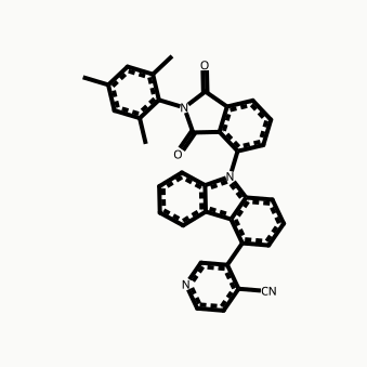 Cc1cc(C)c(N2C(=O)c3cccc(-n4c5ccccc5c5c(-c6cnccc6C#N)cccc54)c3C2=O)c(C)c1